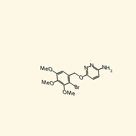 COc1cc(COc2ccc(N)nn2)c(Br)c(OC)c1OC